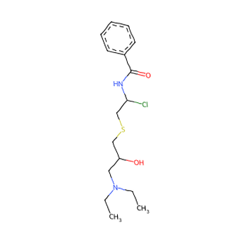 CCN(CC)CC(O)CSCC(Cl)NC(=O)c1ccccc1